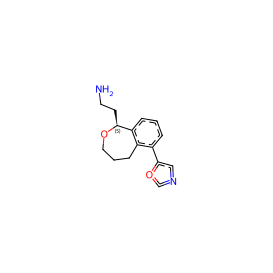 NCC[C@@H]1OCCCc2c(-c3cnco3)cccc21